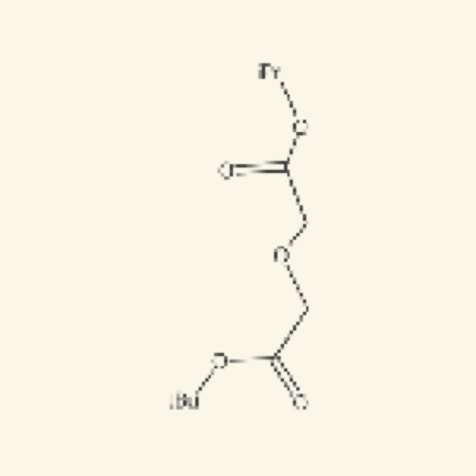 CC(C)OC(=O)COCC(=O)OC(C)(C)C